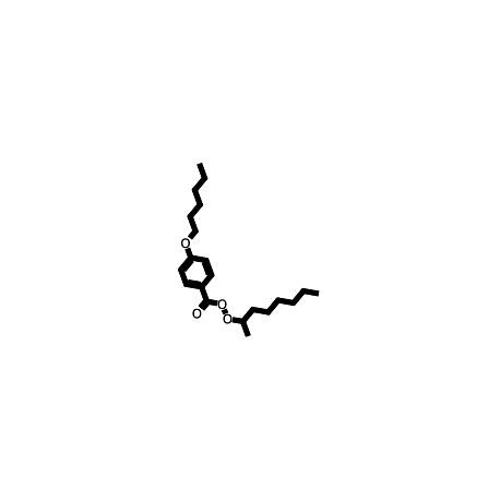 CCCCCCOc1ccc(C(=O)OO[C](C)CCCCCC)cc1